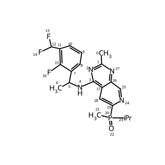 Cc1nc(NC(C)c2cccc(C(F)F)c2F)c2cc(P(C)(=O)C(C)C)ncc2n1